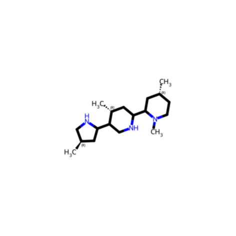 C[C@@H]1CCN(C)C(C2C[C@@H](C)C(C3C[C@@H](C)CN3)CN2)C1